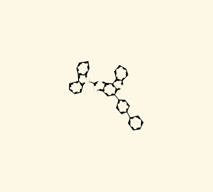 c1ccc(-c2ccc(-c3cc4nc(-n5c6ccccc6c6ccccc65)sc4c4c3oc3ccccc34)cc2)cc1